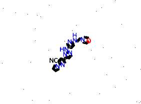 N#Cc1cc(-c2ccnc(Nc3ccc(NCCN4CCOCC4)nc3)n2)cnc1N1CCCC1